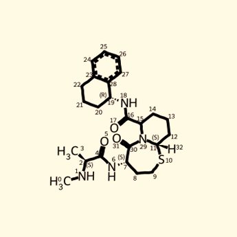 CN[C@@H](C)C(=O)N[C@H]1CCS[C@H]2CCCC(C(=O)N[C@@H]3CCCc4ccccc43)N2C1=O